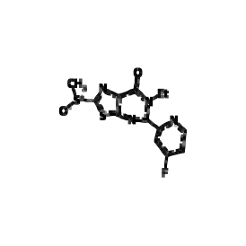 CCn1c(-c2cc(F)ccn2)nc2sc([S+](C)[O-])nc2c1=O